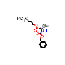 CC[C@H](C)[C@H](NC(=O)OCc1ccccc1)C(=O)OCCCC(=O)O